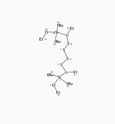 CCO[Si](C(CC)SSSSC(CC)[Si](OCC)(C(C)(C)C)C(C)(C)C)(C(C)(C)C)C(C)(C)C